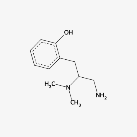 CN(C)C(CN)Cc1ccccc1O